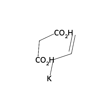 C=C[CH2][K].O=C(O)CC(=O)O